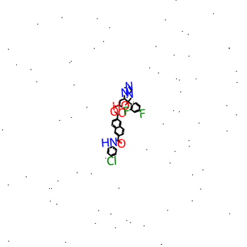 CC(CC1COC(c2ccc3cc(C(=O)Nc4ccc(Cl)cc4)ccc3c2)OC1)C(O)(Cn1cncn1)c1ccc(F)cc1F